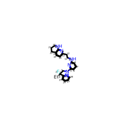 CCC(F)(CNc1cccc(NCCc2ccc3c(n2)NCCC3)n1)c1ccccn1